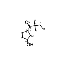 CCC(C)(C)C(=O)N1CCC(O)C1